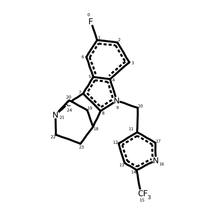 Fc1ccc2c(c1)c1c(n2Cc2ccc(C(F)(F)F)nc2)C2CCN(CC2)C1